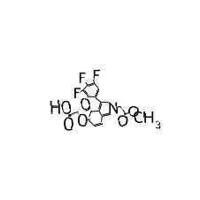 COC(=O)CN1C=C2C=CC(OCC(=O)O)C(=O)C2=C(c2cc(F)c(F)c(F)c2)C1